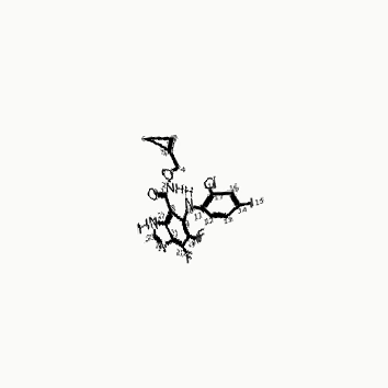 O=C(NOCC1CC1)c1c(Nc2ccc(I)cc2Cl)c(F)c(F)c2nc[nH]c12